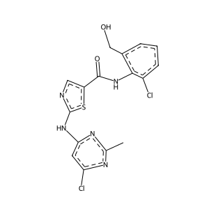 Cc1nc(Cl)cc(Nc2ncc(C(=O)Nc3c(Cl)cccc3CO)s2)n1